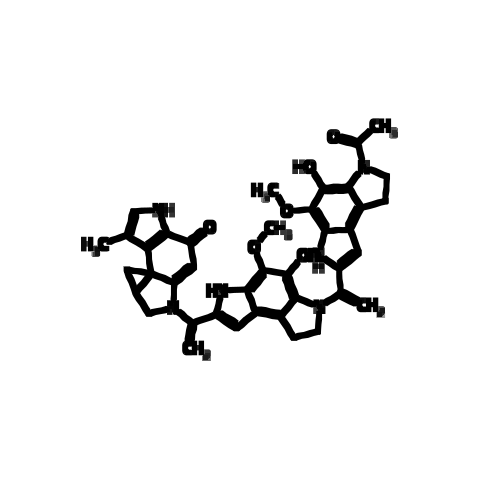 C=C(c1cc2c3c(c(O)c(OC)c2[nH]1)N(C(=C)c1cc2c4c(c(O)c(OC)c2[nH]1)N(C(C)=O)CC4)CC3)N1CC2CC23C1=CC(=O)c1[nH]cc(C)c13